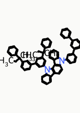 CCC(C)(c1ccccc1)c1cccc(-c2cc(-n3c4ccccc4c4ccc5c(c6ccccc6n5-c5cccc(-c6cccc(-c7ccccc7)c6)c5)c43)cc(C(C)(CC)c3ccccc3)c2)c1